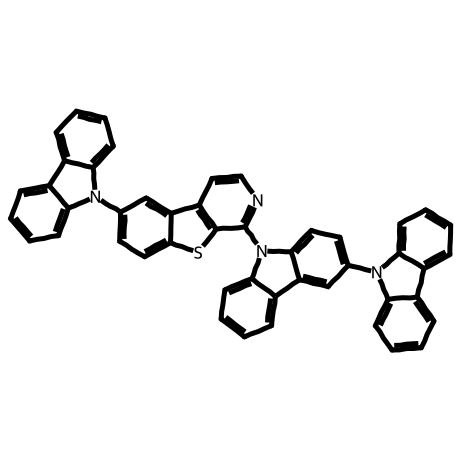 c1ccc2c(c1)c1ccccc1n2-c1ccc2sc3c(-n4c5ccccc5c5cc(-n6c7ccccc7c7ccccc76)ccc54)nccc3c2c1